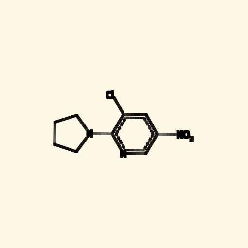 O=[N+]([O-])c1cnc(N2CCCC2)c(Cl)c1